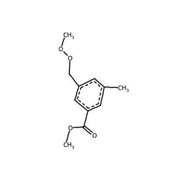 COOCc1cc(C)cc(C(=O)OC)c1